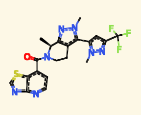 C[C@H]1c2nn(C)c(-c3cc(C(F)(F)F)nn3C)c2CCN1C(=O)c1ccnc2ncsc12